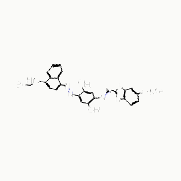 CCC(C)CNc1ccc(/N=N/c2cc(C)c(/N=N/c3nc4ccc(OC)cc4s3)cc2C)c2ccccc12